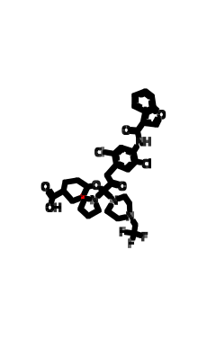 O=C(Nc1cc(Cl)c(CC(=O)C(OC2CCC(C(=O)O)CC2)(N2CCCC2)N2CCN(CC(F)(F)F)CC2)cc1Cl)c1coc2ccccc12